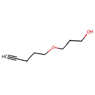 C#CCCCOCCCO